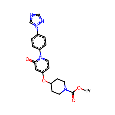 CC(C)OC(=O)N1CCC(Oc2ccn(-c3ccc(-n4cncn4)cc3)c(=O)c2)CC1